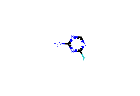 Nc1ncnc(F)n1